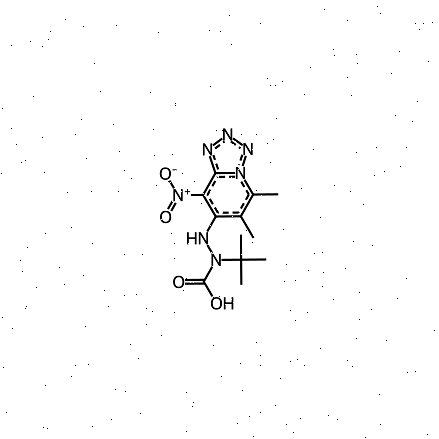 Cc1c(NN(C(=O)O)C(C)(C)C)c([N+](=O)[O-])c2nnnn2c1C